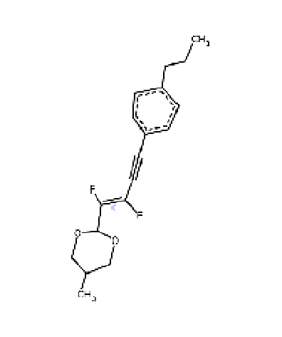 CCCc1ccc(C#C/C(F)=C(\F)C2OCC(C)CO2)cc1